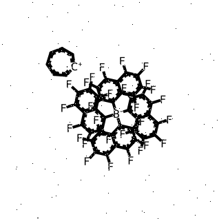 Fc1c(F)c(F)c2c([B-](c3c(F)c(F)c(F)c4c(F)c(F)c(F)c(F)c34)(c3c(F)c(F)c(F)c4c(F)c(F)c(F)c(F)c34)c3c(F)c(F)c(F)c4c(F)c(F)c(F)c(F)c34)c(F)c(F)c(F)c2c1F.c1ccc[cH+]cc1